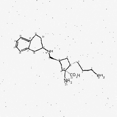 BCCC[C@H]1C[C@H](CNC2CCc3ccccc3C2)C[C@@]1(N)C(=O)O